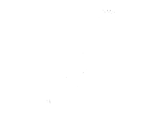 CNCc1cccc(-c2ccncc2)c1